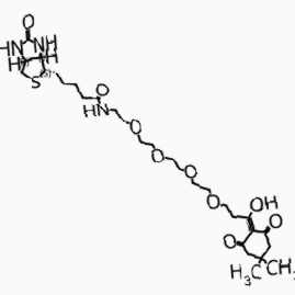 CC1(C)CC(=O)C(=C(O)CCOCCOCCOCCOCCNC(=O)CCCC[C@@H]2SC[C@@H]3NC(=O)N[C@@H]32)C(=O)C1